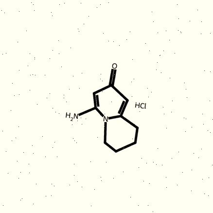 Cl.Nc1cc(=O)cc2n1CCCC2